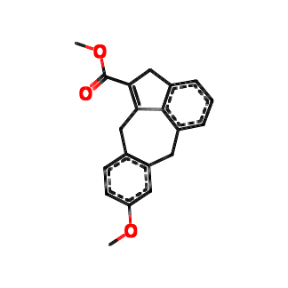 COC(=O)C1=C2Cc3ccc(OC)cc3Cc3cccc(c32)C1